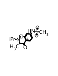 CC(C)N(C)[C@@H](C)C(=O)c1ccc(NS(C)(=O)=O)cc1